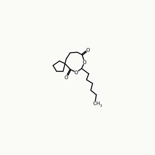 CCCCCCC1OC(=O)CCCC2(CCCC2)C(=O)O1